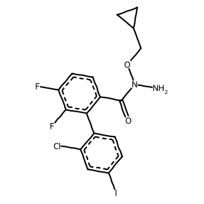 NN(OCC1CC1)C(=O)c1ccc(F)c(F)c1-c1ccc(I)cc1Cl